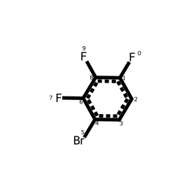 Fc1ccc(Br)c(F)c1F